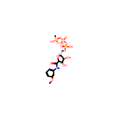 COc1cccc(N(C)C(=O)C2O[C@H](COP(=O)(O)OP(=O)(O)OP(C)(=O)O)[C@@H](O)[C@H]2O)c1